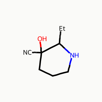 CCC1NCCCC1(O)C#N